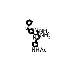 CC(=O)Nc1ccc(-c2cc(N)c(C(=N)N)c(-c3ccc(Oc4ccccc4)cc3)n2)cc1